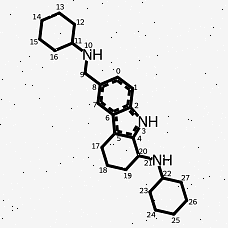 c1cc2[nH]c3c(c2cc1CNC1CCCCC1)CCCC3NC1CCCCC1